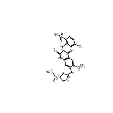 CCS(=O)(=O)c1ccc(Cl)cc1Cn1c(=O)[nH]c2cc(CN3CC[C@@H](N(C)C(=O)O)C3)c(OC(F)(F)F)cc2c1=O